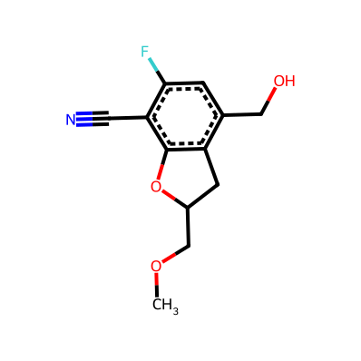 COCC1Cc2c(CO)cc(F)c(C#N)c2O1